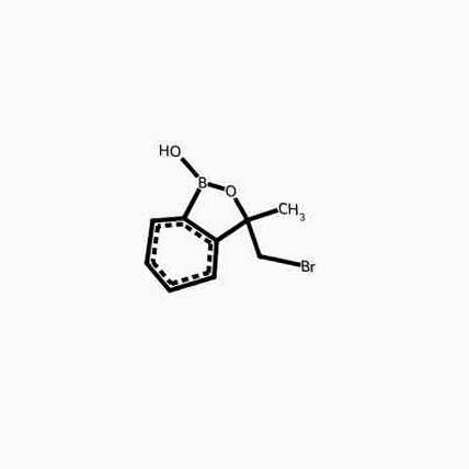 CC1(CBr)OB(O)c2ccccc21